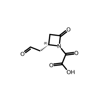 O=CC[C@@H]1CC(=O)N1C(=O)C(=O)O